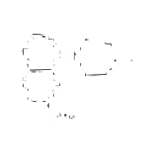 [CH2]Oc1ccc2cccc(N3CCN(C)CC3)c2c1